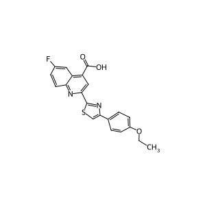 CCOc1ccc(-c2csc(-c3cc(C(=O)O)c4cc(F)ccc4n3)n2)cc1